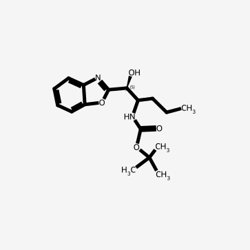 CCCC(NC(=O)OC(C)(C)C)[C@H](O)c1nc2ccccc2o1